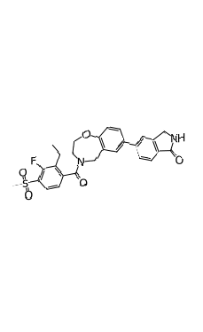 CCc1c(C(=O)N2CCOc3ccc(-c4ccc5c(c4)CNC5=O)cc3C2)ccc(S(C)(=O)=O)c1F